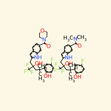 CC(C)(CC(O)(Cc1cc2ccc(C(=O)N3CCOCC3)cc2[nH]1)C(F)(F)F)c1cc(F)ccc1O.CN(C)C(=O)c1ccc2cc(CC(O)(CC(C)(C)c3cc(F)ccc3O)C(F)(F)F)[nH]c2c1